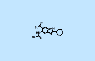 CCN(CC)c1cc2[nH]c(C3CCCCC3)nc2cc1NC(=O)C(C)(C)C